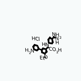 CCOc1cc(-c2cccc(N)c2)cc(C(Nc2ccc(C(=N)N)cc2)C(=O)O)c1.Cl